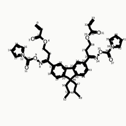 C=CC(=O)OCC/C(=N\OC(=O)n1cccc1)c1ccc2c(c1)-c1cc(/C(CCOC(=O)C=C)=N/OC(=O)n3cccc3)ccc1C2(CCC)CCC